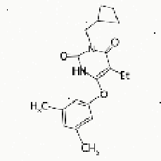 CCc1c(Oc2cc(C)cc(C)c2)[nH]c(=O)n(CC2CCC2)c1=O